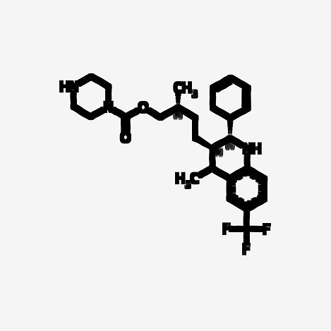 CC1c2cc(C(F)(F)F)ccc2N[C@@H](C2C=CC=CC2)[C@@H]1CC[C@@H](C)COC(=O)N1CCNCC1